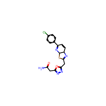 NC(=O)Cc1nnc(CC2=NC3C=CC(c4ccc(Cl)cc4)=NC3S2)o1